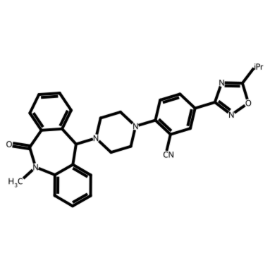 CC(C)c1nc(-c2ccc(N3CCN(C4c5ccccc5C(=O)N(C)c5ccccc54)CC3)c(C#N)c2)no1